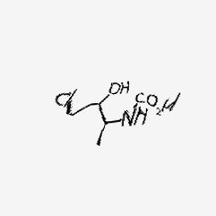 C[C@H](NC(=O)O)C(O)CCl